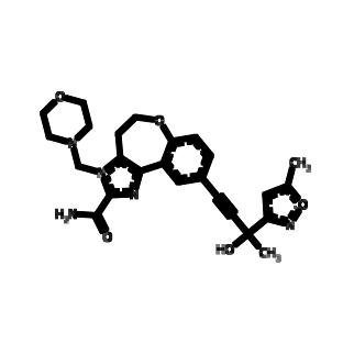 Cc1cc(C(C)(O)C#Cc2ccc3c(c2)-c2nc(C(N)=O)n(CN4CCOCC4)c2CCO3)no1